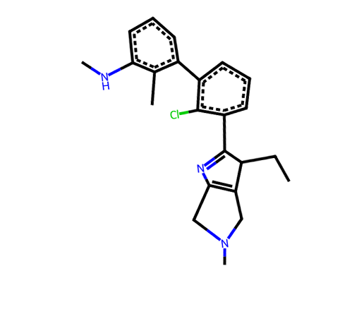 CCC1C(c2cccc(-c3cccc(NC)c3C)c2Cl)=NC2=C1CN(C)C2